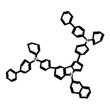 C1=CC(N(c2ccc(-c3ccccc3)cc2)c2ccc(-c3ccc4c(c3)c3cc(-c5ccc(N(c6ccccc6)c6ccc(-c7ccccc7)cc6)cc5)ccc3n4-c3ccc4ccccc4c3)cc2)=CCC1